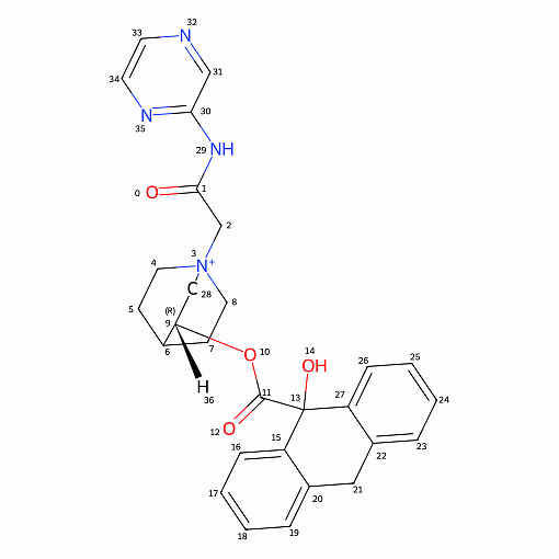 O=C(C[N+]12CCC(CC1)[C@@H](OC(=O)C1(O)c3ccccc3Cc3ccccc31)C2)Nc1cnccn1